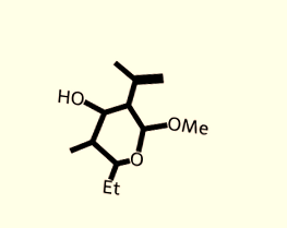 C=C(C)C1C(OC)OC(CC)C(C)C1O